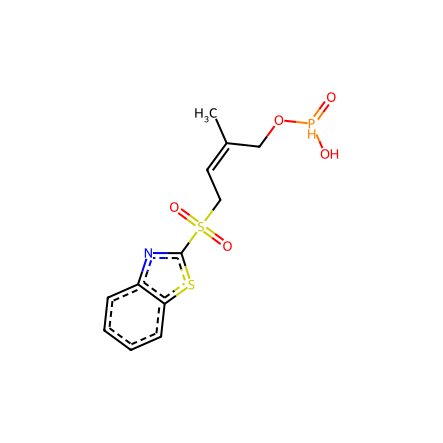 CC(=CCS(=O)(=O)c1nc2ccccc2s1)CO[PH](=O)O